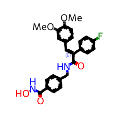 COc1ccc(/C=C(/C(=O)NCc2ccc(C(=O)NO)cc2)c2ccc(F)cc2)cc1OC